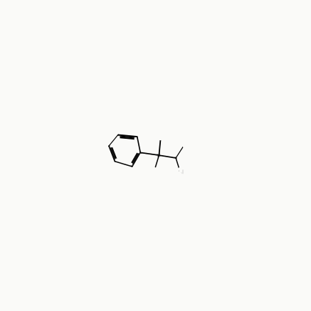 NC(C(=O)O)C(F)(F)c1ccccc1